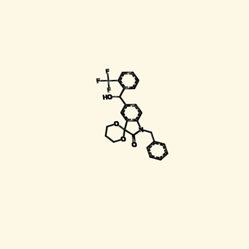 O=C1N(Cc2ccccc2)c2ccc(C(O)c3ccccc3C(F)(F)F)cc2C12OCCCO2